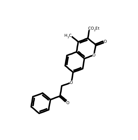 CCOC(=O)c1c(C)c2ccc(OCC(=O)c3ccccc3)cc2oc1=O